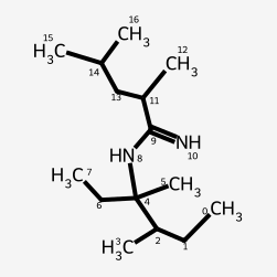 CCC(C)C(C)(CC)NC(=N)C(C)CC(C)C